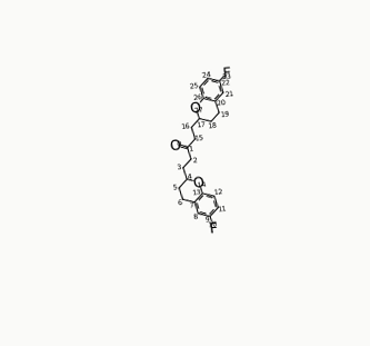 O=C(CCC1CCc2cc(F)ccc2O1)CCC1CCc2cc(F)ccc2O1